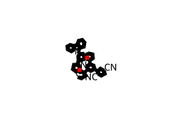 N#Cc1ccc(C#N)c(-c2cc(-c3ccccc3)c(-n3c4ccccc4c4cc(-n5c6ccccc6c6ccccc65)ccc43)c(-c3ccccc3)c2)c1